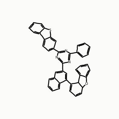 C1=CC2Oc3ccccc3C2C(c2cc(-c3nc(-c4ccccc4)nc(-c4ccc5c(c4)sc4ccccc45)n3)cc3ccccc23)=C1